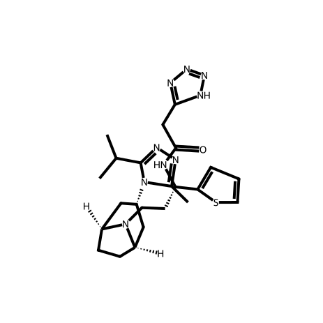 Cc1nnc(C(C)C)n1[C@@H]1C[C@H]2CC[C@@H](C1)N2CC[C@H](NC(=O)Cc1nnn[nH]1)c1cccs1